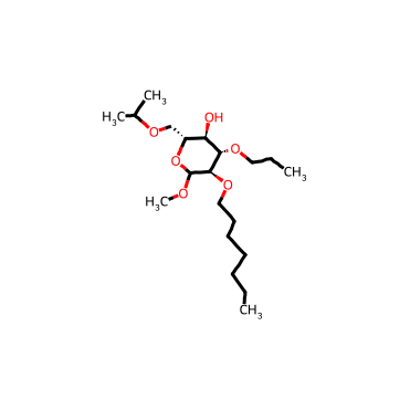 CCCCCCCO[C@H]1C(OC)O[C@H](COC(C)C)[C@@H](O)[C@@H]1OCCC